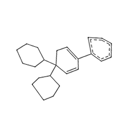 C1=CC(C2CCCCC2)(C2CCCCC2)CC=C1c1ccccc1